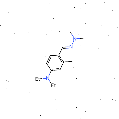 CCN(CC)c1ccc(C=NN(C)C)c(C)c1